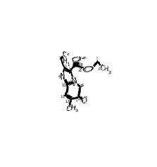 CCOC(=O)c1c(CC)nc2cc(C)c(Cl)cn12